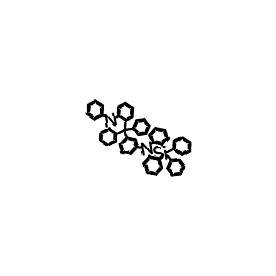 c1ccc(N2c3ccccc3C(c3ccccc3)(c3cccc(N4c5ccccc5[Si](c5ccccc5)(c5ccccc5)c5ccccc54)c3)c3ccccc32)cc1